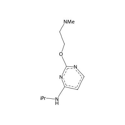 CNCCOc1nccc(NC(C)C)n1